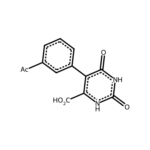 CC(=O)c1cccc(-c2c(C(=O)O)[nH]c(=O)[nH]c2=O)c1